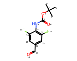 CC(C)(C)OC(=O)Nc1c(F)cc(C=O)cc1F